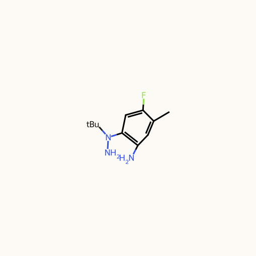 Cc1cc(N)c(N(N)C(C)(C)C)cc1F